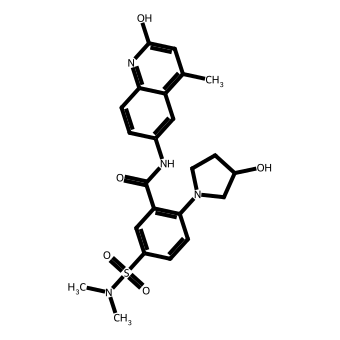 Cc1cc(O)nc2ccc(NC(=O)c3cc(S(=O)(=O)N(C)C)ccc3N3CCC(O)C3)cc12